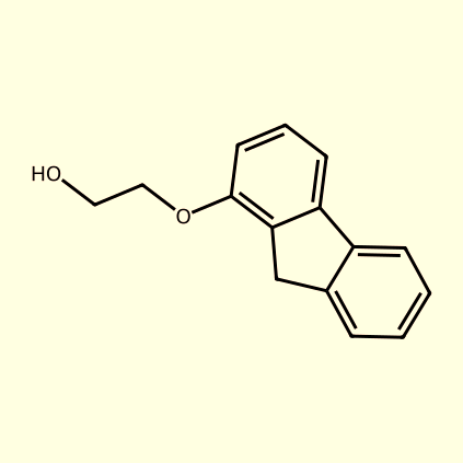 OCCOc1cccc2c1Cc1ccccc1-2